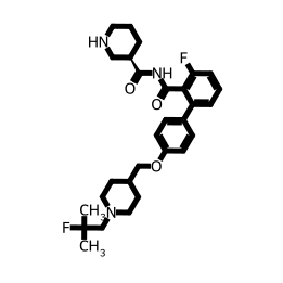 CC(C)(F)CN1CCC(COc2ccc(-c3cccc(F)c3C(=O)NC(=O)[C@@H]3CCCNC3)cc2)CC1